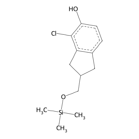 C[Si](C)(C)OCC1Cc2ccc(O)c(Cl)c2C1